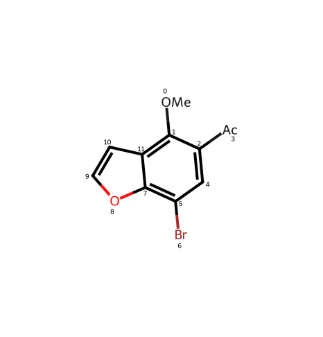 COc1c(C(C)=O)cc(Br)c2occc12